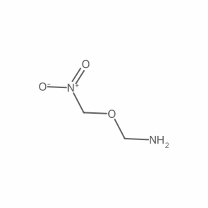 NCOC[N+](=O)[O-]